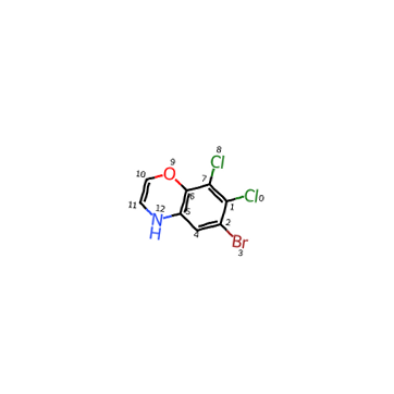 Clc1c(Br)cc2c(c1Cl)OC=CN2